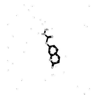 CCCNC(=O)Oc1ccc2ccc(=O)oc2c1